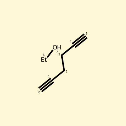 C#CCCC#C.CCO